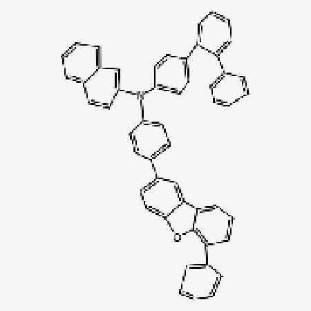 c1ccc(-c2ccccc2-c2ccc(N(c3ccc(-c4ccc5oc6c(-c7ccccc7)cccc6c5c4)cc3)c3ccc4ccccc4c3)cc2)cc1